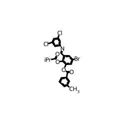 Cc1cccc(C(=O)Oc2cc(Br)cc(C=Nc3cc(Cl)cc(Cl)c3)c2OC(=O)C(C)C)c1